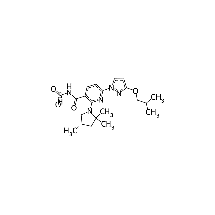 CC(C)COc1ccn(-c2ccc(C(=O)N[SH](=O)=O)c(N3C[C@@H](C)CC3(C)C)n2)n1